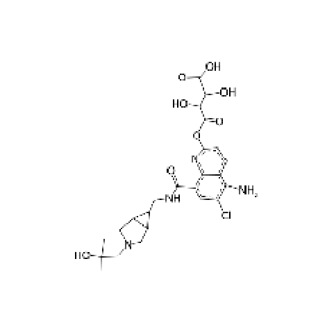 CC(C)(O)CN1CC2C(CNC(=O)c3cc(Cl)c(N)c4ccc(OC(=O)C(O)C(O)C(=O)O)nc34)C2C1